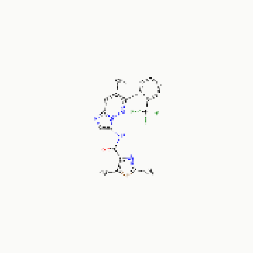 Cc1nc(C(=O)Nc2cnc3cc(C)c(-c4ccccc4C(F)(F)F)nn23)c(C)s1